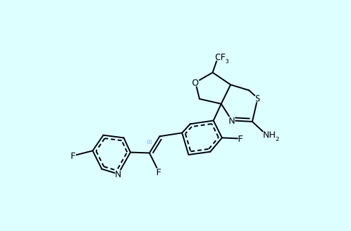 NC1=NC2(c3cc(/C=C(\F)c4ccc(F)cn4)ccc3F)COC(C(F)(F)F)C2CS1